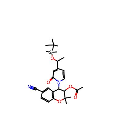 CC(=O)OC1C(n2ccc(C(C)O[Si](C)(C)C(C)(C)C)cc2=O)c2cc(C#N)ccc2OC1(C)C